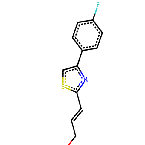 OC/C=C/c1nc(-c2ccc(F)cc2)cs1